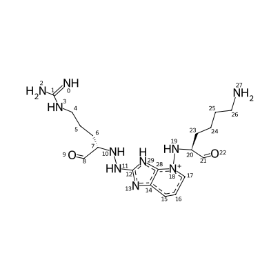 N=C(N)NCCC[C@@H](C=O)NNc1nc2ccc[n+](N[C@H](C=O)CCCCN)c2[nH]1